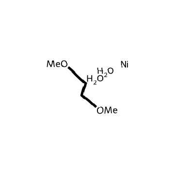 COCCOC.O.O.[Ni]